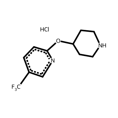 Cl.FC(F)(F)c1ccc(OC2CCNCC2)nc1